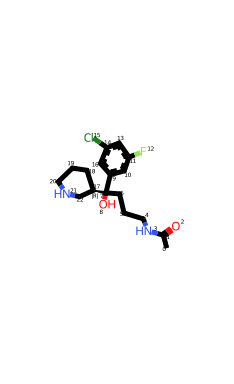 CC(=O)NCCCC(O)(c1cc(F)cc(Cl)c1)[C@@H]1CCCNC1